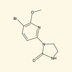 COc1nc(N2CCNC2=O)ccc1Br